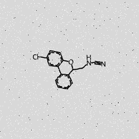 N#CNCC1Oc2ccc(Cl)cc2-c2ccccc21